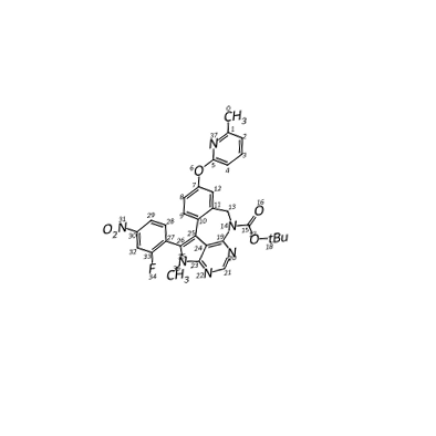 Cc1cccc(Oc2ccc3c(c2)CN(C(=O)OC(C)(C)C)c2ncnc4c2c-3c(-c2ccc([N+](=O)[O-])cc2F)n4C)n1